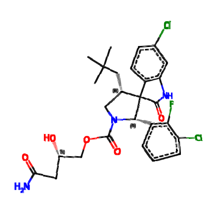 CC(C)(C)C[C@H]1CN(C(=O)OC[C@@H](O)CC(N)=O)[C@@H](c2cccc(Cl)c2F)C12C(=O)Nc1cc(Cl)ccc12